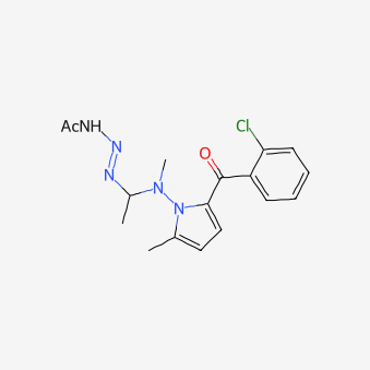 CC(=O)NN=NC(C)N(C)n1c(C)ccc1C(=O)c1ccccc1Cl